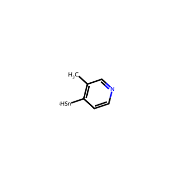 Cc1cncc[c]1[SnH]